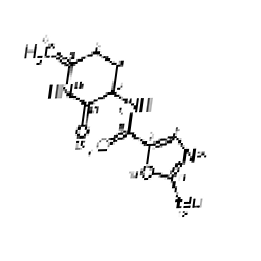 C=C1CCC(NC(=O)c2cnc(C(C)(C)C)o2)C(=O)N1